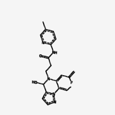 C=C(F)/C=C1\C(=C/C)n2nccc2C(O)N1CCC(=O)Nc1ccc(C)cn1